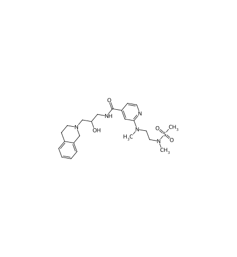 CN(CCN(C)S(C)(=O)=O)c1cc(C(=O)NCC(O)CN2CCc3ccccc3C2)ccn1